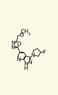 COCc1nnc(-c2cnc3[nH]nc(N4CCC(F)C4)c3c2)o1